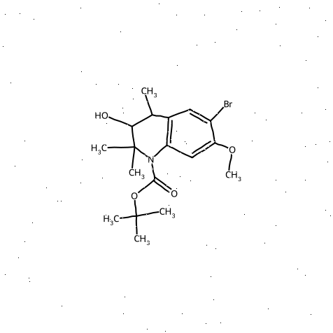 COc1cc2c(cc1Br)C(C)C(O)C(C)(C)N2C(=O)OC(C)(C)C